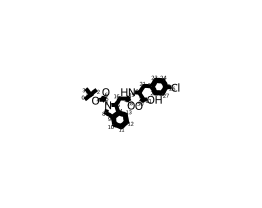 CC(C)(C)OC(=O)N1Cc2ccccc2C1CC(=O)NC(Cc1ccc(Cl)cc1)C(=O)O